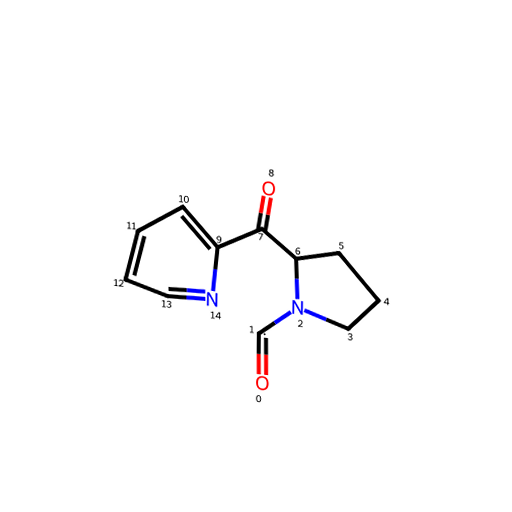 O=[C]N1CCCC1C(=O)c1ccccn1